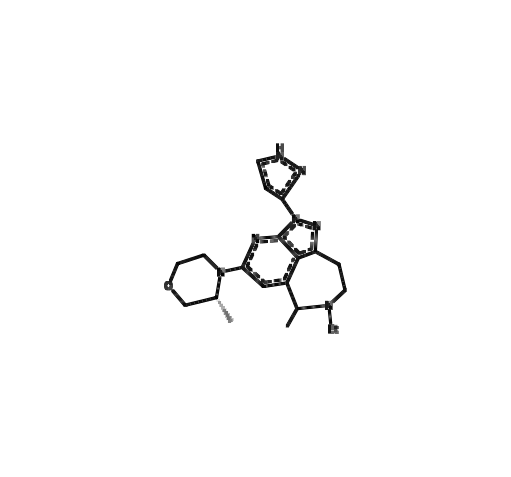 CCN1CCc2nn(-c3cc[nH]n3)c3nc(N4CCOC[C@H]4C)cc(c23)C1C